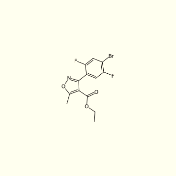 CCOC(=O)c1c(-c2cc(F)c(Br)cc2F)noc1C